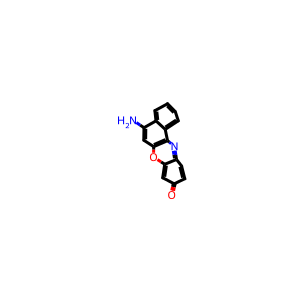 Nc1cc2oc3cc(=O)ccc-3nc2c2ccccc12